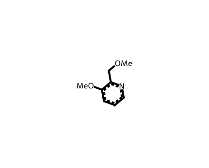 COCc1nc[c]cc1OC